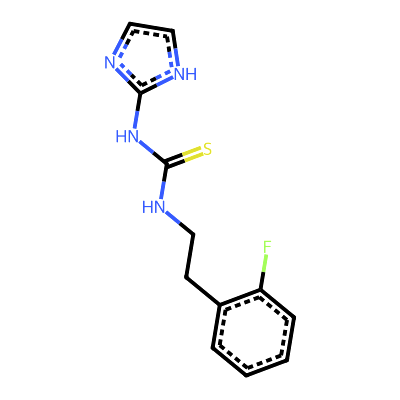 Fc1ccccc1CCNC(=S)Nc1ncc[nH]1